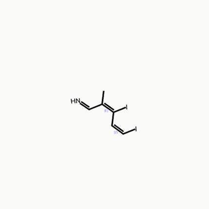 C/C(C=N)=C(I)/C=C\I